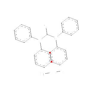 CC(P(c1ccccc1)c1ccccc1)P(c1ccccc1)c1ccccc1.[Br][Co][Br]